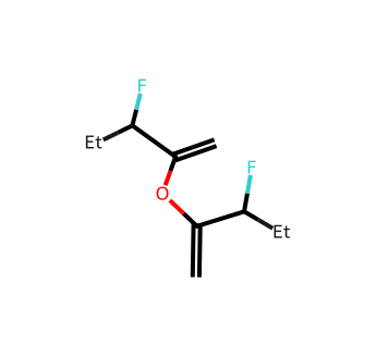 C=C(OC(=C)C(F)CC)C(F)CC